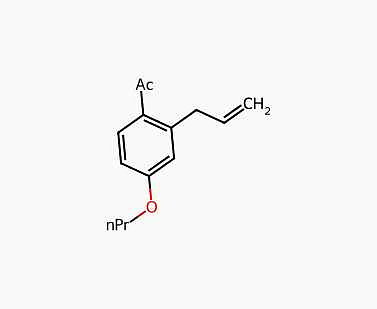 C=CCc1cc(OCCC)ccc1C(C)=O